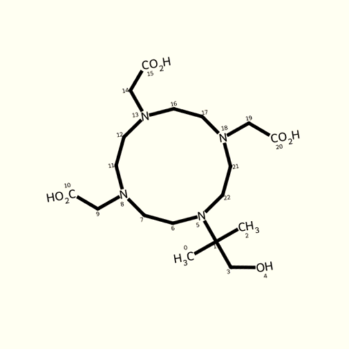 CC(C)(CO)N1CCN(CC(=O)O)CCN(CC(=O)O)CCN(CC(=O)O)CC1